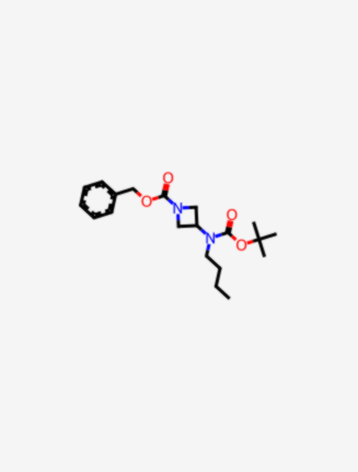 CCCCN(C(=O)OC(C)(C)C)C1CN(C(=O)OCc2ccccc2)C1